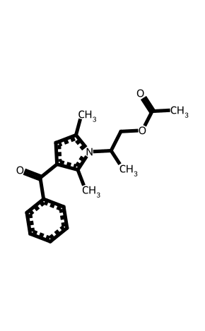 CC(=O)OCC(C)n1c(C)cc(C(=O)c2ccccc2)c1C